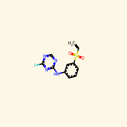 C=CS(=O)(=O)c1cccc(Nc2n[c]nc(F)n2)c1